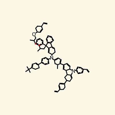 C=CC1=CC=C(C2CC=C3C(C2)C2C=C(C4=CC=C(N(c5ccc(C6=CC=C(C(C)(C)C)CC6)cc5)C5C=C6C(=CC5)c5ccccc5C6(CC(C)CCC(C)COC5C=CC(C=C)CC5)c5ccccc5)CC4C)C=CC2N3c2ccc(C=C)cc2)CC1